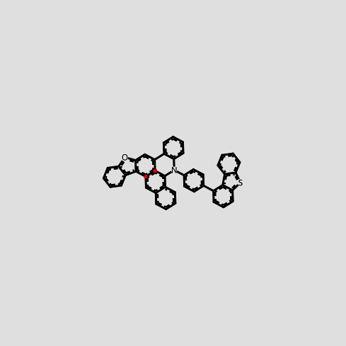 c1ccc(N(c2ccc(-c3cccc4sc5ccccc5c34)cc2)c2cccc3ccccc23)c(-c2ccc3c(c2)oc2ccccc23)c1